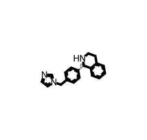 c1ccc2c(c1)CCN[C@H]2c1ccc(Cn2ccnc2)cc1